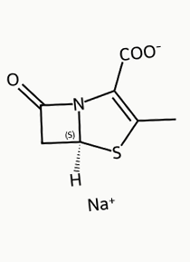 CC1=C(C(=O)[O-])N2C(=O)C[C@@H]2S1.[Na+]